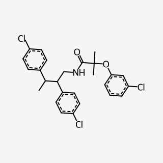 CC(c1ccc(Cl)cc1)C(CNC(=O)C(C)(C)Oc1cccc(Cl)c1)c1ccc(Cl)cc1